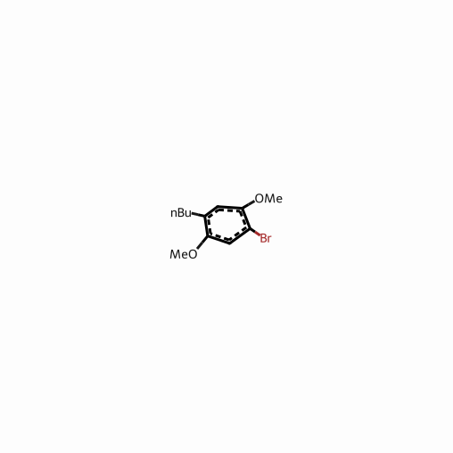 CCCCc1cc(OC)c(Br)cc1OC